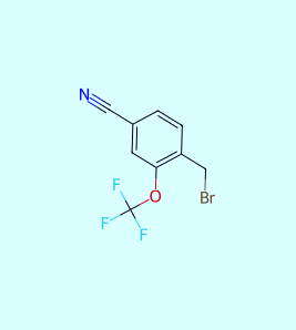 N#Cc1ccc(CBr)c(OC(F)(F)F)c1